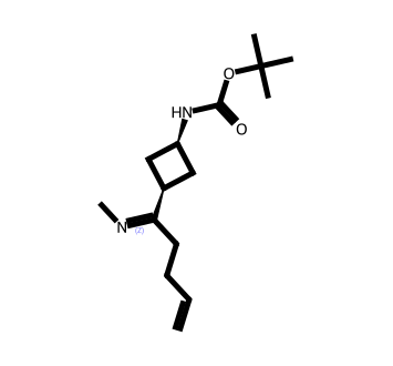 C=CCC/C(=N/C)[C@H]1C[C@@H](NC(=O)OC(C)(C)C)C1